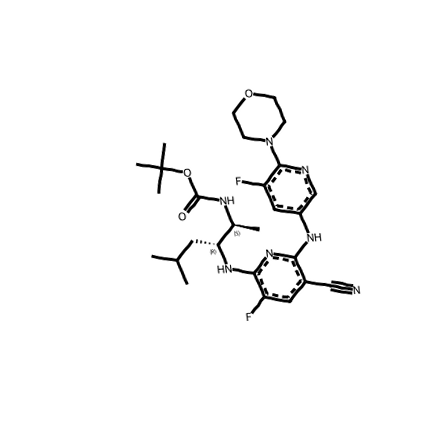 CC(C)C[C@@H](Nc1nc(Nc2cnc(N3CCOCC3)c(F)c2)c(C#N)cc1F)[C@H](C)NC(=O)OC(C)(C)C